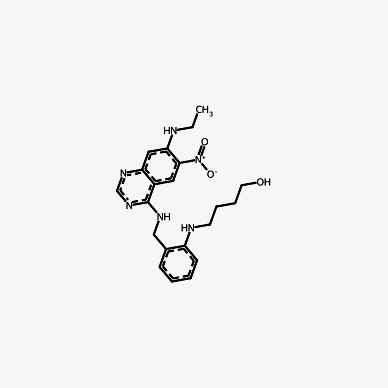 CCNc1cc2ncnc(NCc3ccccc3NCCCCO)c2cc1[N+](=O)[O-]